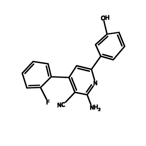 N#Cc1c(-c2ccccc2F)cc(-c2cccc(O)c2)nc1N